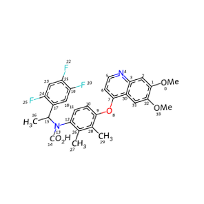 COc1cc2nccc(Oc3ccc(N(C(=O)O)C(C)c4cc(F)c(F)cc4F)c(C)c3C)c2cc1OC